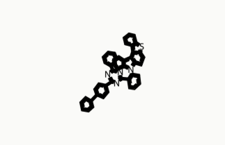 c1ccc(-c2ccc(-c3nc(-c4ccccc4)nc(-c4ccccc4-n4c5ccccc5c5c6c(ccc54)sc4ccccc46)n3)cc2)cc1